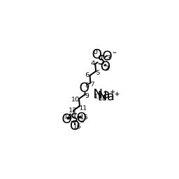 O=S(=O)([O-])CCCCOCCCCS(=O)(=O)[O-].[Na+].[Na+]